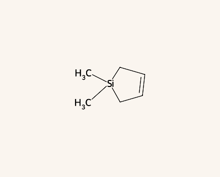 C[Si]1(C)CC=CC1